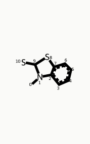 CN1c2ccccc2SC1[S]